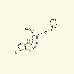 COc1cc2c(Nc3ccc(Br)cc3F)ncnc2cc1OCCOCCN1CCOCC1.Cl